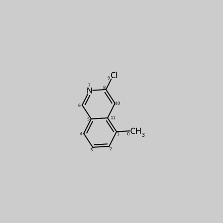 Cc1cccc2cnc(Cl)cc12